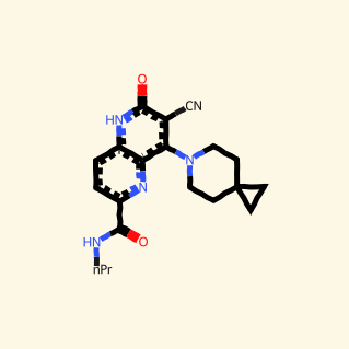 CCCNC(=O)c1ccc2[nH]c(=O)c(C#N)c(N3CCC4(CC3)CC4)c2n1